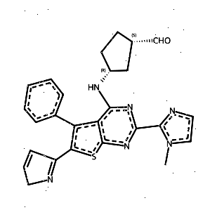 Cn1ccnc1-c1nc(N[C@@H]2CC[C@H](C=O)C2)c2c(-c3ccccc3)c(C3=NCC=C3)sc2n1